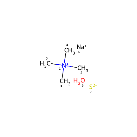 C[N+](C)(C)C.O.[Na+].[S-2]